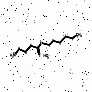 CCCCCCOC(=O)CCCN.Cl